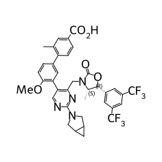 COc1ccc(-c2ccc(C(=O)O)cc2C)cc1-c1cnc(N2CC3CC3C2)nc1CN1C(=O)O[C@H](c2cc(C(F)(F)F)cc(C(F)(F)F)c2)[C@@H]1C